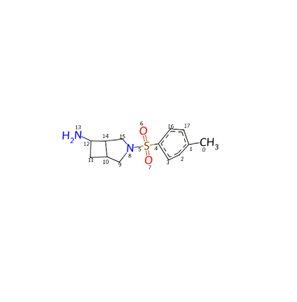 Cc1ccc(S(=O)(=O)N2CC3CC(N)C3C2)cc1